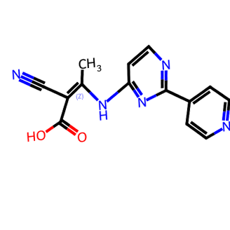 C/C(Nc1ccnc(-c2ccncc2)n1)=C(\C#N)C(=O)O